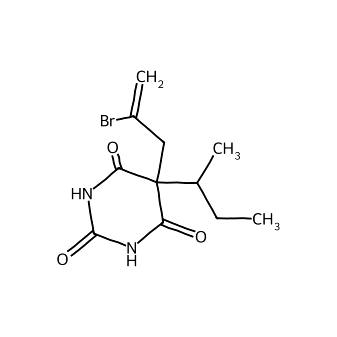 C=C(Br)CC1(C(C)CC)C(=O)NC(=O)NC1=O